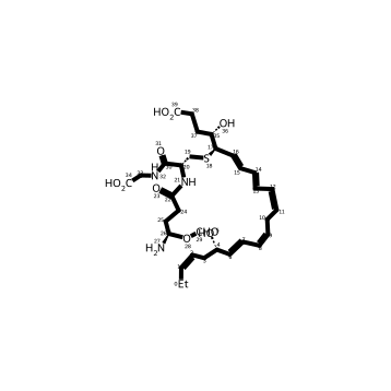 CC/C=C\C[C@H](O)/C=C/C=C\C\C=C/C=C/C=C/[C@@H](SC[C@H](NC(=O)CC[C@H](N)OC=O)C(=O)NCC(=O)O)[C@@H](O)CCC(=O)O